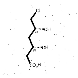 O=C(O)C[C@@H](O)C[C@@H](O)CCl